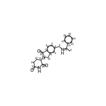 C[C@@H](NCc1ccc2c(c1)CN(C1CCC(=O)NC1=O)C2=O)c1ccccc1